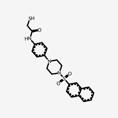 O=C(CS)Nc1ccc(N2CCN(S(=O)(=O)c3ccc4ccccc4c3)CC2)cc1